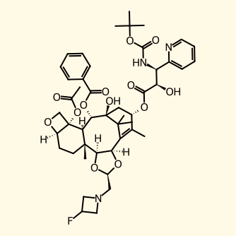 CC(=O)O[C@@]12CO[C@@H]1CC[C@@]1(C)[C@@H]3O[C@H](CN4CC(F)C4)O[C@@H]3C3=C(C)[C@@H](OC(=O)[C@H](O)[C@@H](NC(=O)OC(C)(C)C)c4ccccn4)C[C@@](O)([C@@H](OC(=O)c4ccccc4)[C@@H]12)C3(C)C